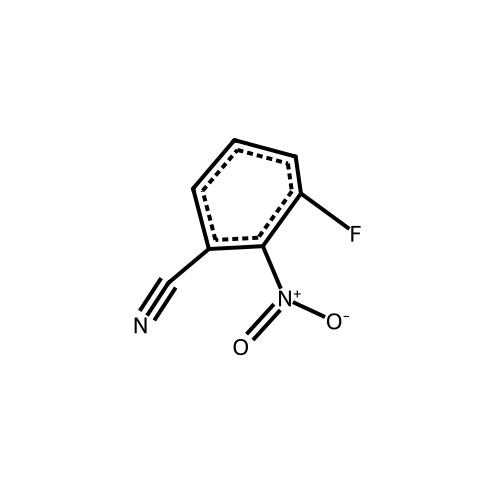 N#Cc1cccc(F)c1[N+](=O)[O-]